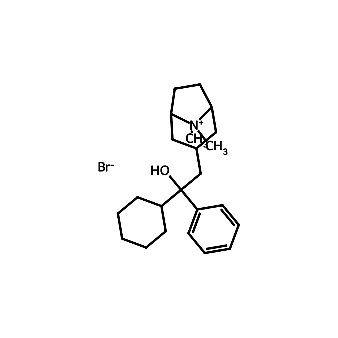 C[N+]1(C)C2CCC1CC(CC(O)(c1ccccc1)C1CCCCC1)C2.[Br-]